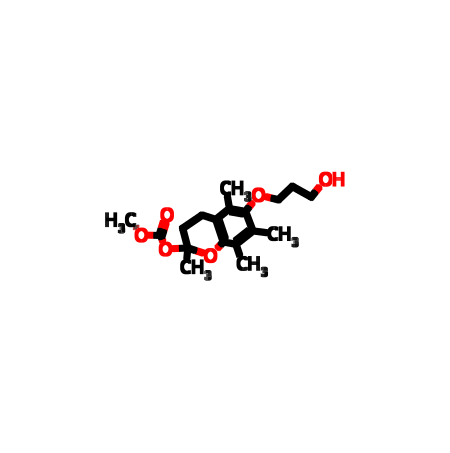 COC(=O)OC1(C)CCc2c(C)c(OCCCO)c(C)c(C)c2O1